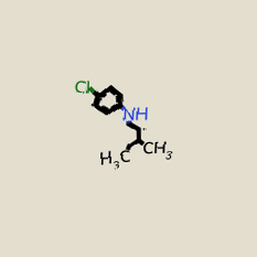 CCC(C)[CH]CNc1ccc(Cl)cc1